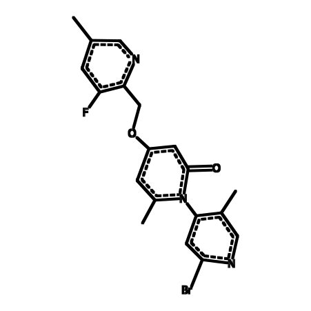 Cc1cnc(COc2cc(C)n(-c3cc(Br)ncc3C)c(=O)c2)c(F)c1